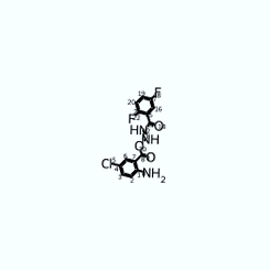 Nc1ccc(Cl)cc1C(=O)ONNC(=O)c1cc(F)ccc1F